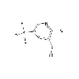 FC(F)(F)c1cnc(Cl)c(CCl)c1